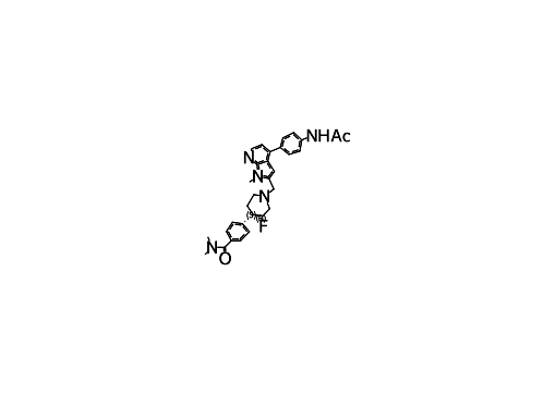 CC(=O)Nc1ccc(-c2ccnc3c2cc(CN2CC[C@@H](c4ccc(C(=O)N(C)C)cc4)[C@@H](F)C2)n3C)cc1